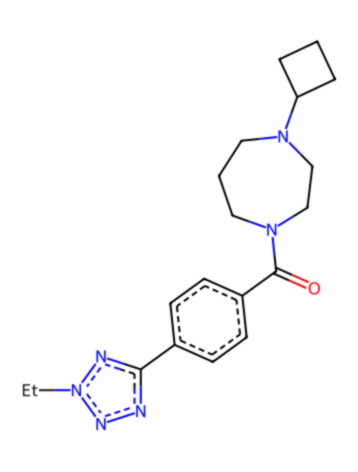 CCn1nnc(-c2ccc(C(=O)N3CCCN(C4CCC4)CC3)cc2)n1